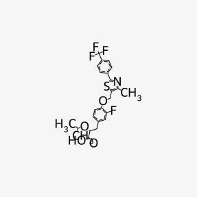 Cc1nc(-c2ccc(C(F)(F)F)cc2)sc1COc1ccc(CC(OC(C)C)C(=O)O)cc1F